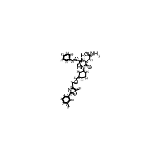 Cc1cccc(-c2nc(COCC3CCCC(NC(=O)[C@H](CC(N)=O)NC(=O)OCc4ccccc4)C3)c(C)o2)c1